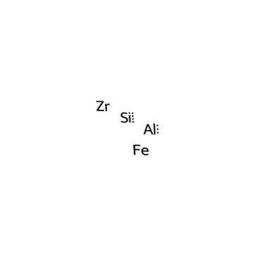 [Al].[Fe].[Si].[Zr]